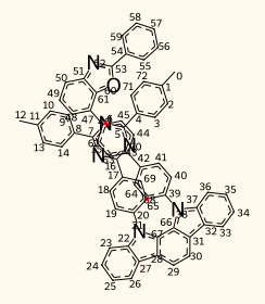 Cc1ccc(-c2nc(-c3ccc(C)cc3)nc(-c3ccc(-n4c5ccccc5c5ccc6c7ccccc7n(-c7ccc(-c8ccc(-c9cccc%10nc(-c%11ccccc%11)oc9%10)cc8)cc7)c6c54)cc3)n2)cc1